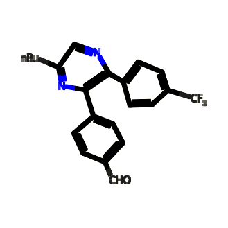 CCCCc1cnc(-c2ccc(C(F)(F)F)cc2)c(-c2ccc(C=O)cc2)n1